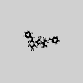 CC(C)=C(C(=O)OCc1ccccc1)N1C(=O)C2C1OC(C(=O)Cl)N2C(=O)Cc1ccccc1